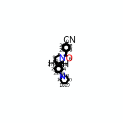 N#Cc1ccc(C(=O)N2CC[C@@H]3C[C@H]2c2cc(N4CCCCC4)ccc23)cc1